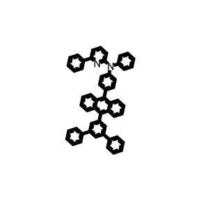 c1ccc(-c2cc(-c3ccccc3)cc(-c3c4ccccc4c(-c4ccc(N(c5ccccc5)c5cccc(-c6ccccc6)n5)cc4)c4ccccc34)c2)cc1